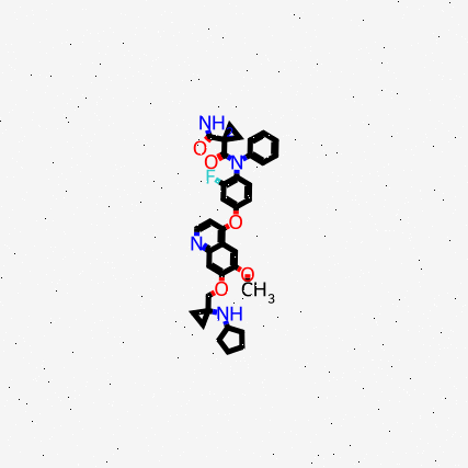 COc1cc2c(Oc3ccc(N(C(=O)C4(C(N)=O)CC4)c4ccccc4)c(F)c3)ccnc2cc1OCC1(NC2CCCC2)CC1